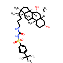 CC[C@H]1[C@@H](O)[C@H]2[C@@H]3CC[C@](C)([C@H](C)CCCNC(=O)NS(=O)(=O)c4ccc(C(C)(C)C)cc4)[C@@]3(C)CC[C@]2(C)[C@@]2(C)CC[C@@H](O)C[C@@H]12